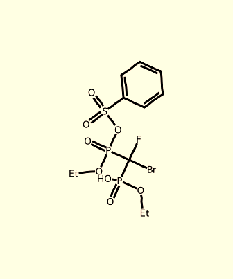 CCOP(=O)(O)C(F)(Br)P(=O)(OCC)OS(=O)(=O)c1ccccc1